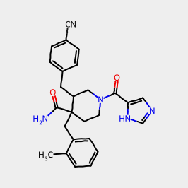 Cc1ccccc1CC1(C(N)=O)CCN(C(=O)c2cnc[nH]2)CC1Cc1ccc(C#N)cc1